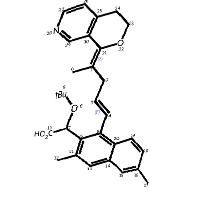 C/C(C/C=C/c1c(C(OC(C)(C)C)C(=O)O)c(C)cc2cc(C)ccc12)=C1/OCCc2ccncc21